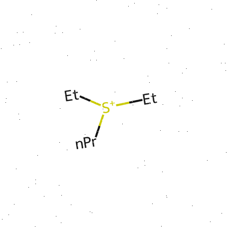 CCC[S+](CC)CC